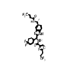 C[C@@H](NC(=O)CCC(F)(F)F)c1ccc2[nH]c([C@@H](NC(=O)c3coc(CCC(F)(F)F)n3)C3CCC(F)(F)CC3)nc2c1